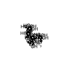 CC1[C@H](O)OC(CO)[C@@H](O[C@@H]2OC(CO[C@H]3OC(CO)[C@@H](O)[C@H](O)C3O)[C@@H](O)[C@H](O[C@H]3O[C@@H](CO)[C@@H](O)C(O)C3O[C@H]3O[C@@H](CO)[C@@H](O)C(O)C3O)C2O)[C@@H]1O